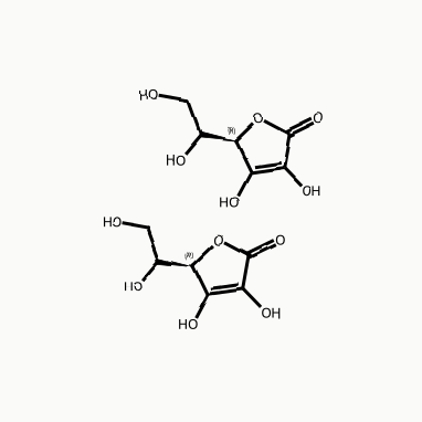 O=C1O[C@H](C(O)CO)C(O)=C1O.O=C1O[C@H](C(O)CO)C(O)=C1O